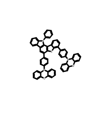 c1ccc(-n2c3ccccc3c3cc(-c4ccc(N5c6ccccc6Oc6ccccc65)cc4)c4sc5c(-c6ccc(N7c8ccccc8Oc8ccccc87)cc6)cccc5c4c32)cc1